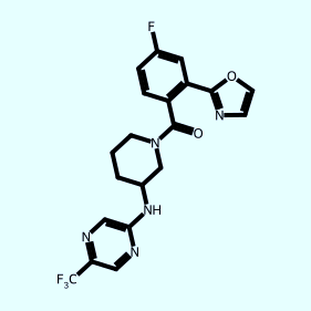 O=C(c1ccc(F)cc1-c1ncco1)N1CCCC(Nc2cnc(C(F)(F)F)cn2)C1